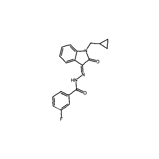 O=C(N/N=C1/C(=O)N(CC2CC2)c2ccccc21)c1cccc(F)c1